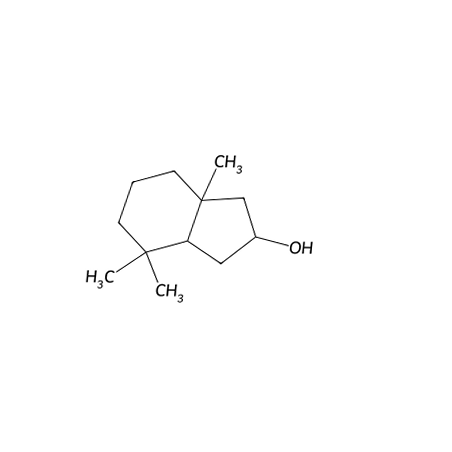 CC1(C)CCCC2(C)CC(O)CC12